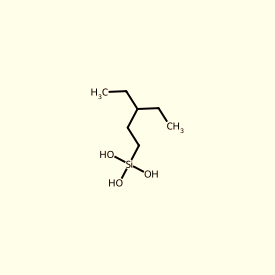 CCC(CC)CC[Si](O)(O)O